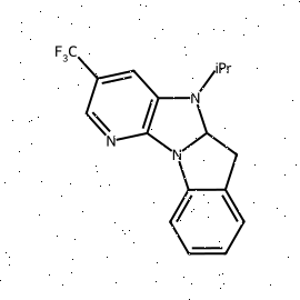 CC(C)N1c2cc(C(F)(F)F)cnc2N2c3ccccc3CC21